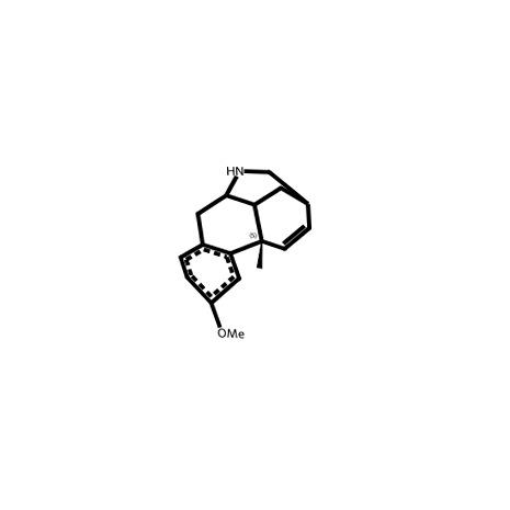 COc1ccc2c(c1)[C@@]1(C)C=CC3CNC(C2)C1C3